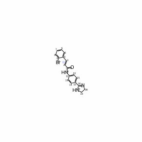 O=C(/C=C/c1ccccc1Br)Nc1ccc(C2=NCCN2)cc1